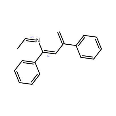 C=C(/C=C(\N=C/C)c1ccccc1)c1ccccc1